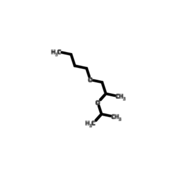 CCCCOCC(C)OC(C)C